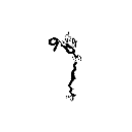 CCC1(NCc2cc(C(=O)OCCCCCCCCCO)cc(Br)c2N)CCCCC1